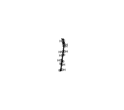 CCC(C)C(=S)Nc1ccc(NC(=S)NCCCCCN(O)C(=N)CCC(=O)NCCCCCN(O)C(=O)CCC(=O)NCCCCCN(O)C(C)=O)cc1